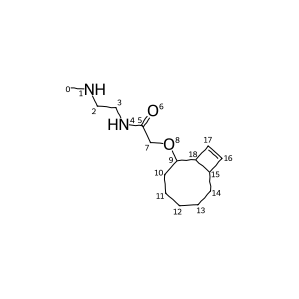 CNCCNC(=O)COC1CCCCCC2C=CC21